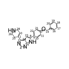 C1=C(c2ncnc3[nH]c(-c4ccc(OCc5ccccc5)cc4)cc23)CCNC1